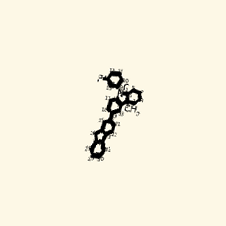 CC12CCCCC1(C)N(c1cccc(F)c1)c1ccc(-c3ccc4c(c3)Cc3ccccc3-4)cc12